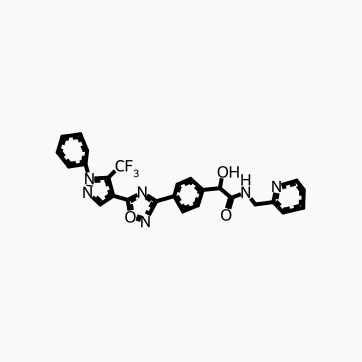 O=C(NCc1ccccn1)C(O)c1ccc(-c2noc(-c3cnn(-c4ccccc4)c3C(F)(F)F)n2)cc1